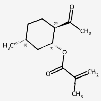 C=C(C)C(=O)O[C@@H]1C[C@H](C)CC[C@H]1C(C)=O